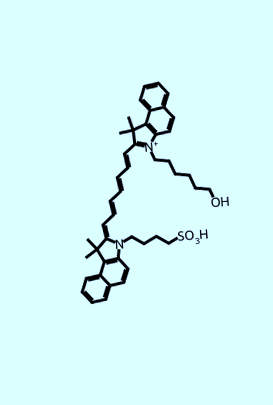 CC1(C)C(/C=C/C=C/C=C/C=C2\N(CCCCS(=O)(=O)O)c3ccc4ccccc4c3C2(C)C)=[N+](CCCCCCO)c2ccc3ccccc3c21